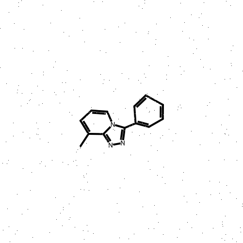 Cc1cccn2c(-c3ccccc3)nnc12